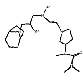 CC(=O)N(CCN1CCC(N(C)C(=O)N(C)C)C1)CC(O)CN1C2C[CH]CC1CC2